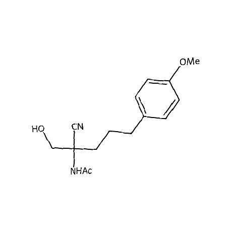 COc1ccc(CCCC(C#N)(CO)NC(C)=O)cc1